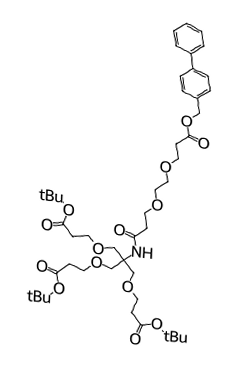 CC(C)(C)OC(=O)CCOCC(COCCC(=O)OC(C)(C)C)(COCCC(=O)OC(C)(C)C)NC(=O)CCOCCOCCC(=O)OCc1ccc(-c2ccccc2)cc1